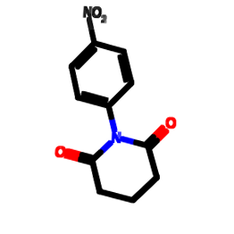 O=C1CCCC(=O)N1c1ccc([N+](=O)[O-])cc1